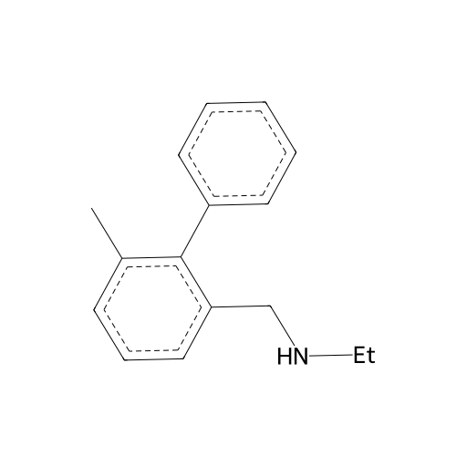 CCNCc1cccc(C)c1-c1ccccc1